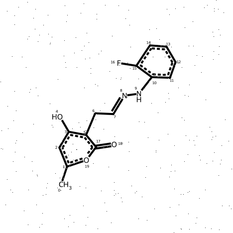 Cc1cc(O)c(CC=NNc2ccccc2F)c(=O)o1